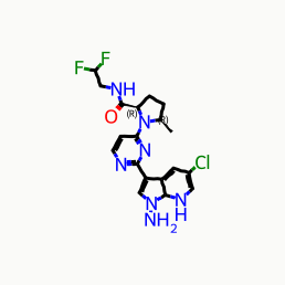 C[C@@H]1CC[C@H](C(=O)NCC(F)F)N1c1ccnc(C2=CN(N)C3NC=C(Cl)C=C23)n1